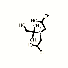 CCC(O)CN(CC(O)CC)C(C)(C)CO